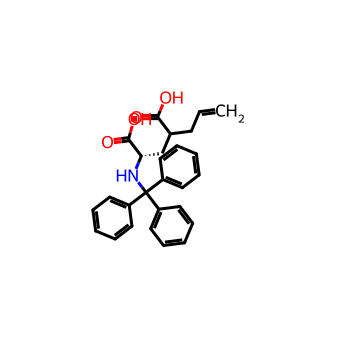 C=CCC(C[C@H](NC(c1ccccc1)(c1ccccc1)c1ccccc1)C(=O)O)C(=O)O